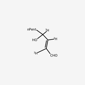 [2H]C(C=O)=C([2H])C([2H])(O)CCCCC